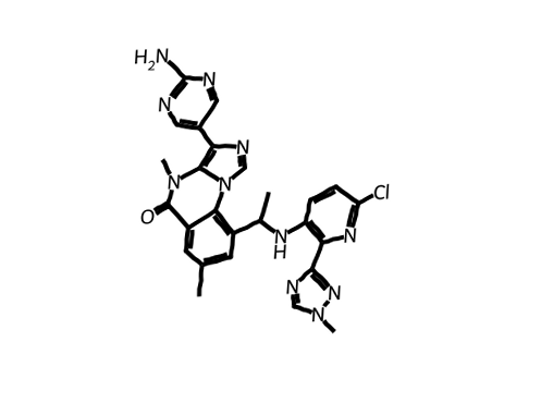 Cc1cc(C(C)Nc2ccc(Cl)nc2-c2ncn(C)n2)c2c(c1)c(=O)n(C)c1c(-c3cnc(N)nc3)ncn21